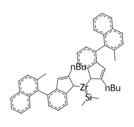 CCCCC1=Cc2c(-c3c(C)ccc4ccccc34)cccc2[CH]1[Zr]([CH]1C(CCCC)=Cc2c(-c3c(C)ccc4ccccc34)cccc21)=[Si](C)C